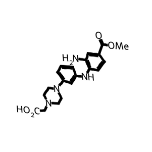 COC(=O)c1ccc(Nc2cccc(N3CCN(CC(=O)O)CC3)c2)c(N)c1